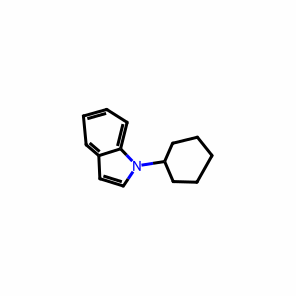 c1ccc2c(c1)ccn2C1CCCCC1